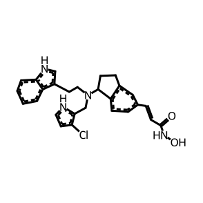 O=C(C=Cc1ccc2c(c1)CCC2N(CCc1c[nH]c2ccccc12)Cc1[nH]ccc1Cl)NO